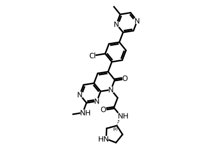 CNc1ncc2cc(-c3ccc(-c4cncc(C)n4)cc3Cl)c(=O)n(CC(=O)N[C@@H]3CCNC3)c2n1